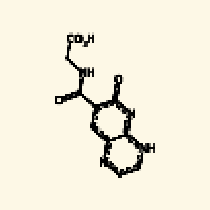 O=C(O)CNC(=O)c1cc2ncc[nH]c-2nc1=O